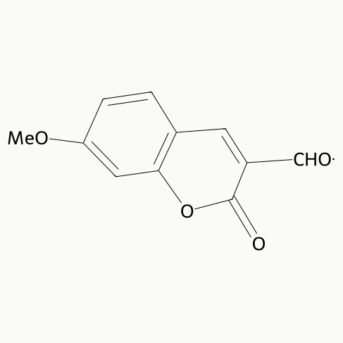 COc1ccc2cc([C]=O)c(=O)oc2c1